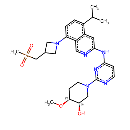 CO[C@H]1CCN(c2nccc(Nc3cc4c(C(C)C)ccc(N5CC(CS(C)(=O)=O)C5)c4cn3)n2)C[C@H]1O